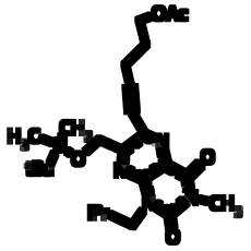 CC(=O)OCCCC#Cc1nc2c(=O)n(C)c(=O)n(CC(C)C)c2nc1CO[Si](C)(C)C(C)(C)C